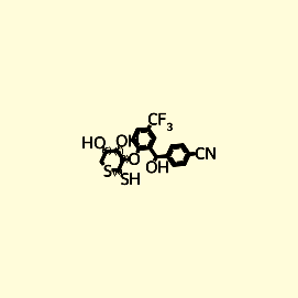 N#Cc1ccc(C(O)c2cc(C(F)(F)F)ccc2O[C@@H]2[C@@H](O)[C@H](O)CS[C@H]2S)cc1